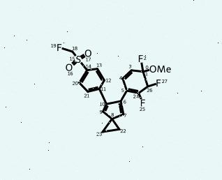 COC1(F)C=CC(C2=CC3(C=C2c2ccc(S(=O)(=O)CF)cc2)CC3)=C(F)C1F